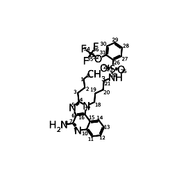 CCCCc1nc2c(N)nc3ccccc3c2n1CCCCNS(=O)(=O)c1ccccc1OC(F)(F)F